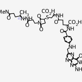 CNC(=O)CC/C(C)=N/NC(=O)CCN1C(=O)CC(SC[C@H](NC(=O)CC[C@H](NC(=O)c2ccc(NCc3cnc4nc(N)[nH]c(=O)c4n3)cc2)C(=O)O)C(=O)O)C1=O